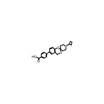 O=C(O)c1ccc(-c2ccc3c(c2)COC2(CCN(C4CCC4)CC2)O3)cc1